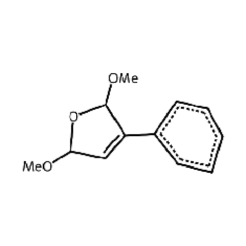 COC1C=C(c2ccccc2)C(OC)O1